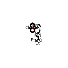 CCN(CC)C(=O)c1nc2n(n1)-c1ccc(Cl)cc1C1(c3ccccc3)NCCN1C2